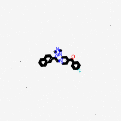 O=C(c1ccc(F)cc1)C1CCN(CC(c2ccc3ccccc3c2)n2cncn2)CC1